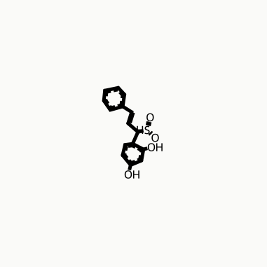 O=[SH](=O)C(C=Cc1ccccc1)c1ccc(O)cc1O